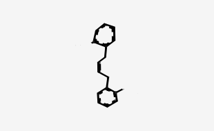 O=C(O)c1ccccc1C/C=C\Cc1ccccc1C(=O)O